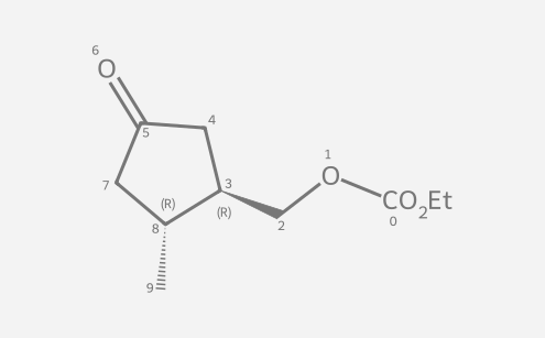 CCOC(=O)OC[C@@H]1CC(=O)C[C@H]1C